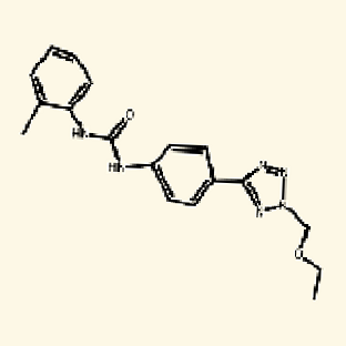 CCOCn1nnc(-c2ccc(NC(=O)Nc3ccccc3C)cc2)n1